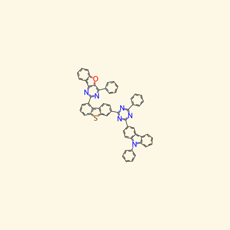 c1ccc(-c2nc(-c3ccc4c(c3)sc3cccc(-c5nc(-c6ccccc6)c6oc7ccccc7c6n5)c34)nc(-c3ccc4c(c3)c3ccccc3n4-c3ccccc3)n2)cc1